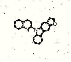 c1ccc2nc(-n3c4ccccc4c4cc5occc5cc43)ccc2c1